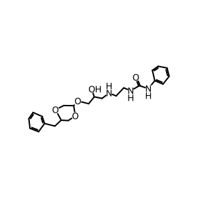 O=C(NCCNCC(O)COC1COC(Cc2ccccc2)CO1)Nc1ccccc1